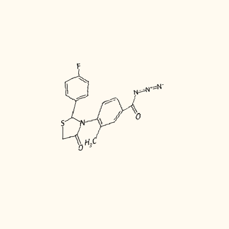 Cc1cc(C(=O)N=[N+]=[N-])ccc1N1C(=O)CSC1c1ccc(F)cc1